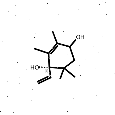 C=C[C@@]1(O)C(C)=C(C)C(O)CC1(C)C